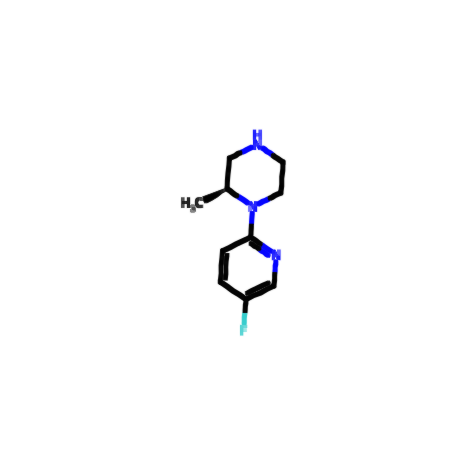 C[C@H]1CNCCN1c1ccc(F)cn1